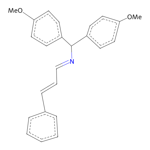 COc1ccc(C(/N=C/C=C/c2ccccc2)c2ccc(OC)cc2)cc1